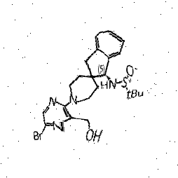 CC(C)(C)[S+]([O-])N[C@@H]1c2ccccc2CC12CCN(c1ncc(Br)nc1CO)CC2